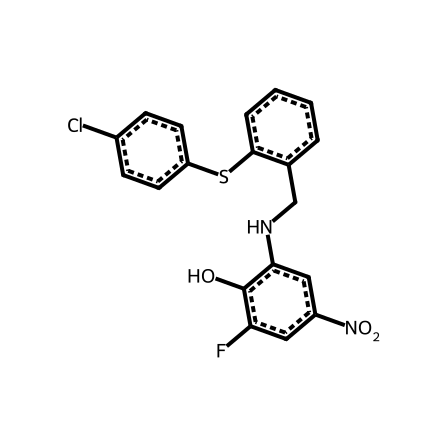 O=[N+]([O-])c1cc(F)c(O)c(NCc2ccccc2Sc2ccc(Cl)cc2)c1